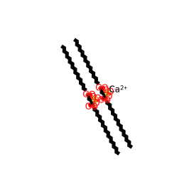 CCCCCCCCCCCCCCCCCCOC(=O)CC(C(=O)OCCCCCCCCCCCCCCCCCC)S(=O)(=O)[O-].CCCCCCCCCCCCCCCCCCOC(=O)CC(C(=O)OCCCCCCCCCCCCCCCCCC)S(=O)(=O)[O-].[Ca+2]